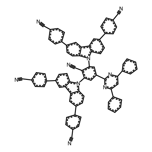 N#Cc1ccc(-c2ccc3c(c2)c2cc(-c4ccc(C#N)cc4)ccc2n3-c2cc(-c3nc(-c4ccccc4)cc(-c4ccccc4)n3)cc(-n3c4ccc(-c5ccc(C#N)cc5)cc4c4cc(-c5ccc(C#N)cc5)ccc43)c2C#N)cc1